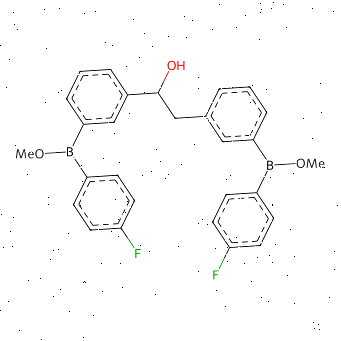 COB(c1ccc(F)cc1)c1cccc(CC(O)c2cccc(B(OC)c3ccc(F)cc3)c2)c1